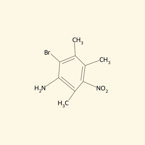 Cc1c(C)c([N+](=O)[O-])c(C)c(N)c1Br